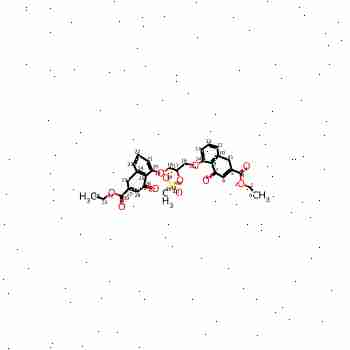 CCOC(=O)C1=CC(=O)c2c(cccc2OCC(COc2cccc3c2C(=O)C=C(C(=O)OCC)C3)OS(C)(=O)=O)C1